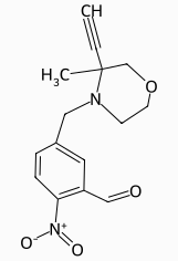 C#CC1(C)COCCN1Cc1ccc([N+](=O)[O-])c(C=O)c1